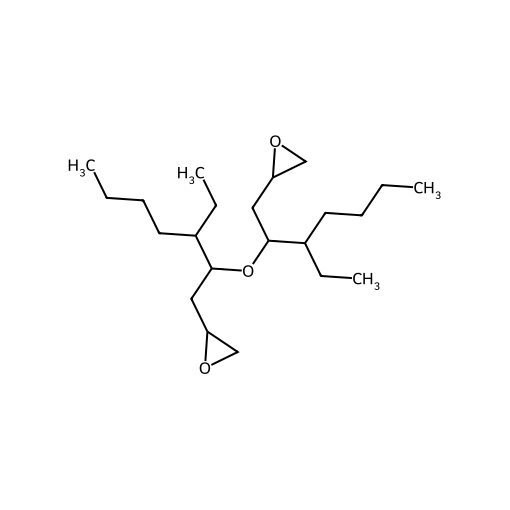 CCCCC(CC)C(CC1CO1)OC(CC1CO1)C(CC)CCCC